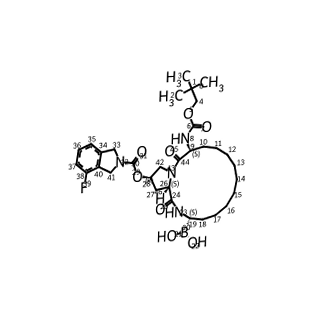 CC(C)(C)COC(=O)N[C@H]1CCCCCCCCC[C@H](B(O)O)NC(=O)[C@@H]2C[C@@H](OC(=O)N3Cc4cccc(F)c4C3)CN2C1=O